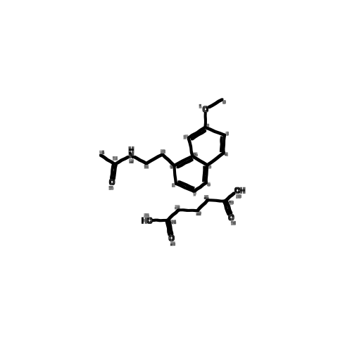 COc1ccc2cccc(CCNC(C)=O)c2c1.O=C(O)CCCC(=O)O